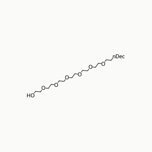 CCCCCCCCCCCCOCCOCCOCCOCCOCCOCCO